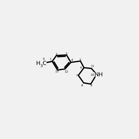 Cc1ccc(CC2CCCNC2)cc1